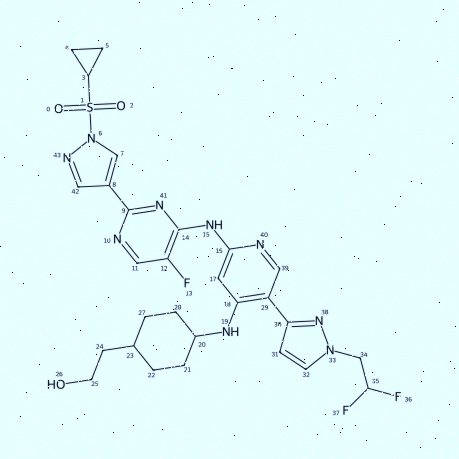 O=S(=O)(C1CC1)n1cc(-c2ncc(F)c(Nc3cc(NC4CCC(CCO)CC4)c(-c4ccn(CC(F)F)n4)cn3)n2)cn1